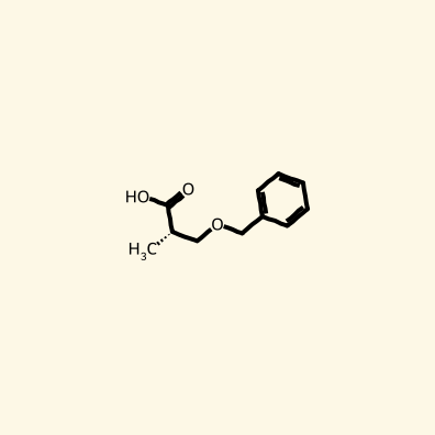 C[C@@H](COCc1ccccc1)C(=O)O